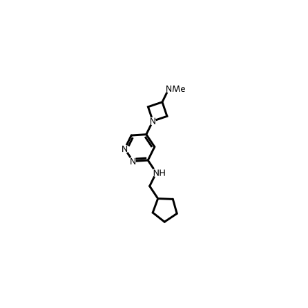 CNC1CN(c2cnnc(NCC3CCCC3)c2)C1